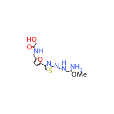 COC(N)CNC=Nc1nc(-c2ccc(CNC(=O)CO)o2)cs1